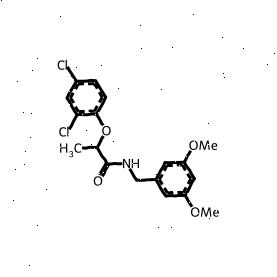 COc1cc(CNC(=O)C(C)Oc2ccc(Cl)cc2Cl)cc(OC)c1